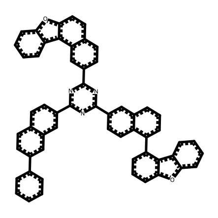 c1ccc(-c2ccc3ccc(-c4nc(-c5ccc6c(-c7cccc8oc9ccccc9c78)cccc6c5)nc(-c5ccc6ccc7oc8ccccc8c7c6c5)n4)cc3c2)cc1